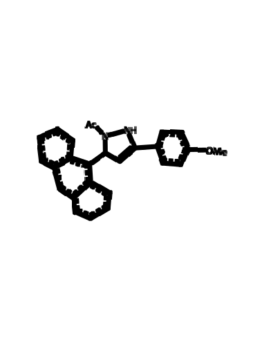 COc1ccc(C2=CC(c3c4ccccc4cc4ccccc34)N(C(C)=O)N2)cc1